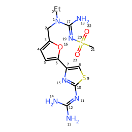 CCN(Cc1ccc(-c2csc(N=C(N)N)n2)o1)C(N)=NS(C)(=O)=O